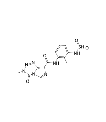 Cc1c(NC(=O)c2ncn3c(=O)n(C)nnc23)cccc1N[SH](=O)=O